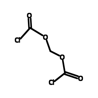 O=C(Cl)OCOC(=O)Cl